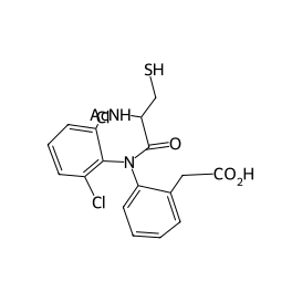 CC(=O)NC(CS)C(=O)N(c1ccccc1CC(=O)O)c1c(Cl)cccc1Cl